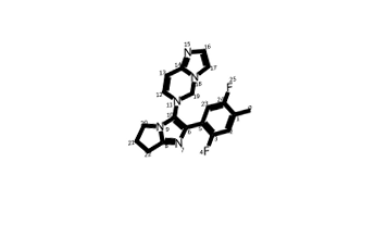 Cc1cc(F)c(-c2nc3n(c2N2C=Cc4nccn4C2)CCC3)cc1F